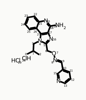 CC(C)Cn1c(CON=Cc2cccnc2)nc2c(N)nc3ccccc3c21.Cl.Cl